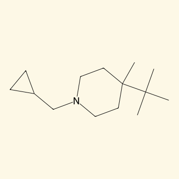 CC(C)(C)C1(C)CCN(CC2CC2)CC1